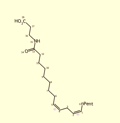 CCCCC/C=C\C/C=C\CCCCCCCC(=O)NCCC(=O)O